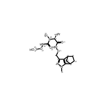 CCC[C@@H](C(=O)NOCc1nn(C)c2c1C1CCC2C1)N(CC)C(=O)NOS(=O)(=O)O